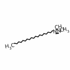 CCCCCCCCCCCCCCCCCCCCN1C=CN(C)C1C